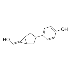 OC=C1C2CC(c3ccc(O)cc3)CC12